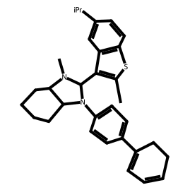 Cc1sc2ccc(C(C)C)cc2c1C1N(C)C2CCCCC2N1c1ccc(C2=CC=CCC2)cc1